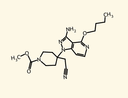 CCCCOc1nccc2c1c(N)nn2C1(CC#N)CCN(C(=O)OC)CC1